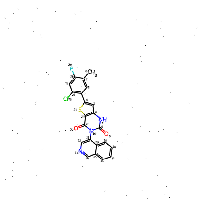 Cc1cc(-c2cc3[nH]c(=O)n(-c4cncc5ccccc45)c(=O)c3s2)c(Cl)cc1F